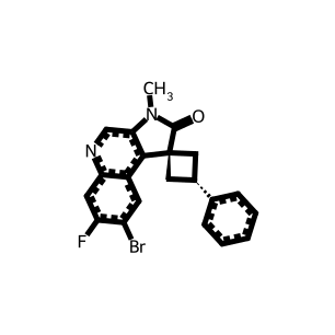 CN1c2cnc3cc(F)c(Br)cc3c2[C@]2(C[C@@H](c3ccccc3)C2)C1=O